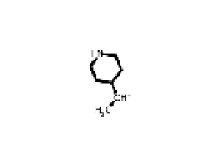 [CH2-][OH+]C1CCNCC1